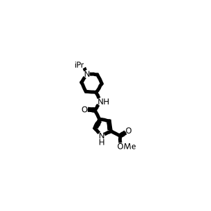 COC(=O)c1cc(C(=O)NC2CCN(C(C)C)CC2)c[nH]1